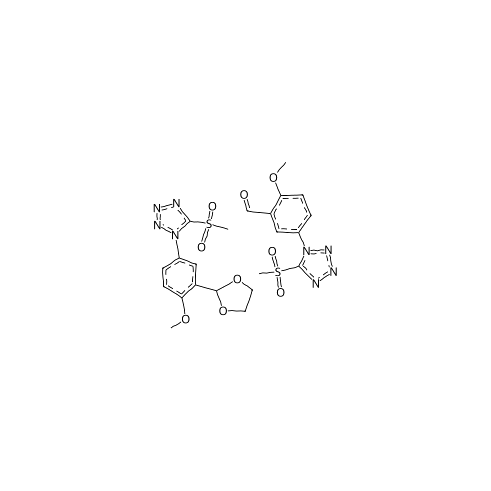 COc1ccc(-n2nnnc2S(C)(=O)=O)cc1C1OCCO1.COc1ccc(-n2nnnc2S(C)(=O)=O)cc1C=O